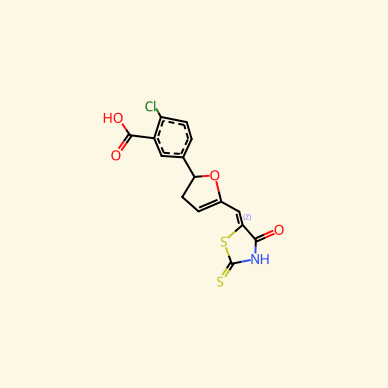 O=C1NC(=S)S/C1=C\C1=CCC(c2ccc(Cl)c(C(=O)O)c2)O1